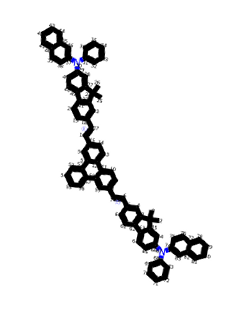 CC1(C)c2cc(/C=C/c3ccc4c5ccc(/C=C/c6ccc7c(c6)C(C)(C)c6cc(N(c8ccccc8)c8ccc9ccccc9c8)ccc6-7)cc5c5ccccc5c4c3)ccc2-c2ccc(N(c3ccccc3)c3ccc4ccccc4c3)cc21